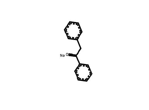 O=C(Cc1ccccc1)c1ccccc1.[Na]